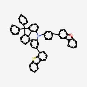 c1ccc(C2(c3ccccc3)c3ccccc3-c3c(N(c4ccc(-c5ccc6oc7ccccc7c6c5)cc4)c4cccc(-c5cccc6c5sc5ccccc56)c4)cccc32)cc1